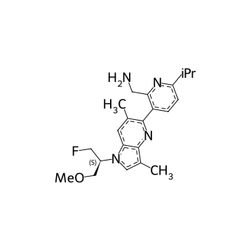 COC[C@@H](CF)n1cc(C)c2nc(-c3ccc(C(C)C)nc3CN)c(C)cc21